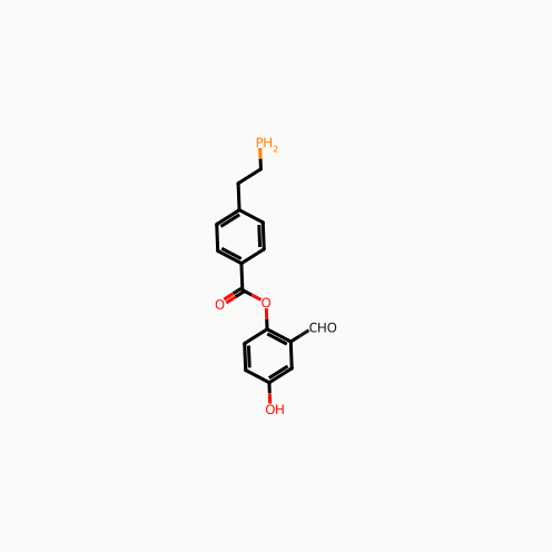 O=Cc1cc(O)ccc1OC(=O)c1ccc(CCP)cc1